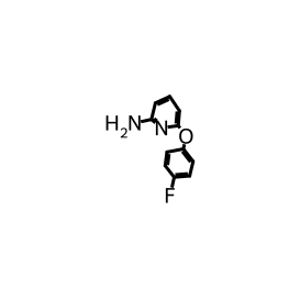 Nc1cccc(Oc2ccc(F)cc2)n1